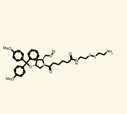 [3H]OC[C@@H]1C[C@@H](OC(c2ccccc2)(c2ccc(OC)cc2)c2ccc(OC)cc2)CN1C(=O)CCCCC(=O)NCCSSCCN